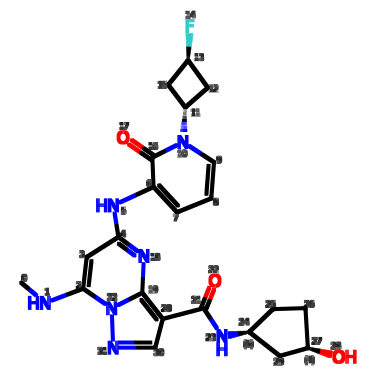 CNc1cc(Nc2cccn([C@H]3C[C@H](F)C3)c2=O)nc2c(C(=O)N[C@H]3CC[C@@H](O)C3)cnn12